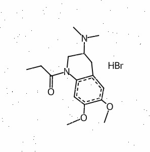 Br.CCC(=O)N1CC(N(C)C)Cc2cc(OC)c(OC)cc21